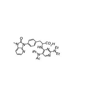 CCN(CC)c1ncc(N(C(C)=O)C(C)C)c(NC(Cc2ccc(-n3c(=O)n(C)c4cccnc43)cc2)C(=O)O)n1